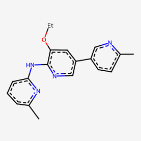 CCOc1cc(-c2ccc(C)nc2)cnc1Nc1cccc(C)n1